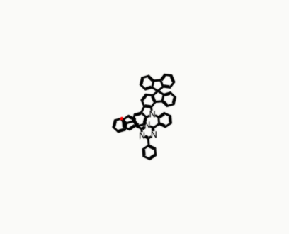 c1ccc(-c2ccc3c(c2)c2ccc4c(c2n3-c2ccccc2-c2nc(-c3ccccc3)nc(-c3ccccc3)n2)-c2ccccc2C42c3ccccc3-c3ccccc32)cc1